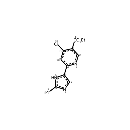 CCOC(=O)c1cnc(-c2cnc(C(C)C)[nH]2)nc1Cl